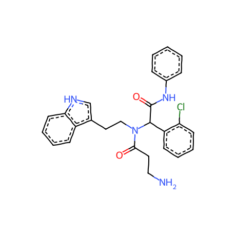 NCCC(=O)N(CCc1c[nH]c2ccccc12)C(C(=O)Nc1ccccc1)c1ccccc1Cl